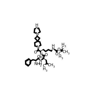 CC(C)C[C@@H](NC(=O)[C@H](N)Cc1ccccc1)C(=O)N[C@H](CCCCNC(=O)OC(C)(C)C)C(=O)N1CCC2(CC1)CC(N1CCNCC1)C2